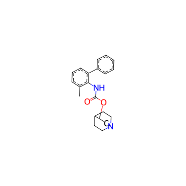 Cc1cccc(-c2ccccc2)c1NC(=O)OC1CN2CCC1CC2